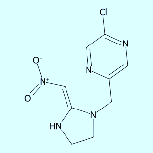 O=[N+]([O-])C=C1NCCN1Cc1cnc(Cl)cn1